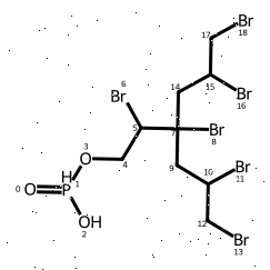 O=[PH](O)OCC(Br)C(Br)(CC(Br)CBr)CC(Br)CBr